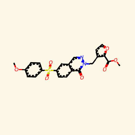 COC(=O)c1occc1Cn1ncc2cc(S(=O)(=O)c3ccc(OC)cc3)ccc2c1=O